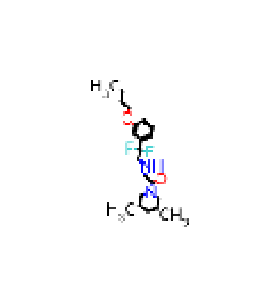 CCCCOc1cccc(C(F)(F)CNCC(=O)N2C[C@H](C)C[C@H](C)C2)c1